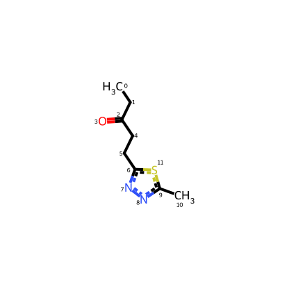 CCC(=O)CCc1nnc(C)s1